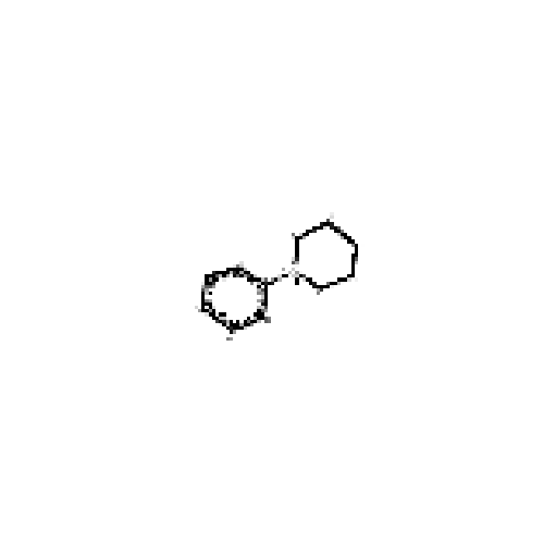 [c]1ccc([SH]2CCCCC2)cc1